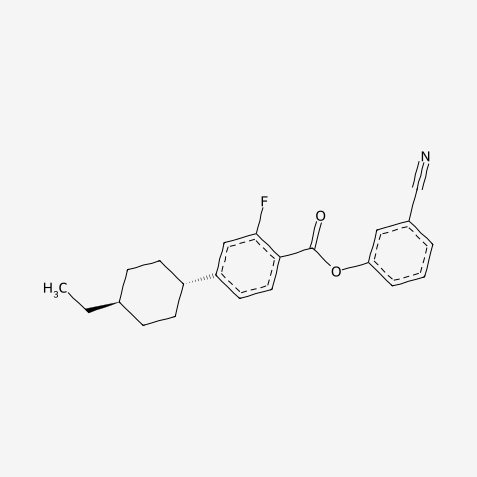 CC[C@H]1CC[C@H](c2ccc(C(=O)Oc3cccc(C#N)c3)c(F)c2)CC1